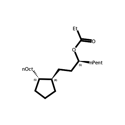 CCCCCCCC[C@H]1CCC[C@@H]1CC[C@H](CCCCC)OC(=O)CC